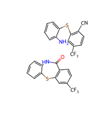 N#Cc1ccc(C(F)(F)F)cc1Sc1ccccc1N.O=C1Nc2ccccc2Sc2cc(C(F)(F)F)ccc21